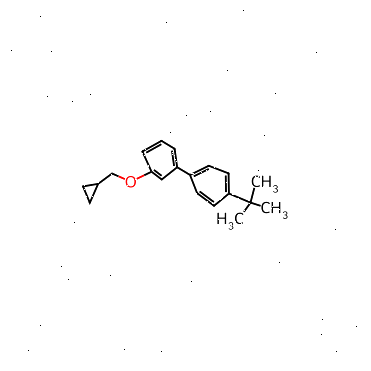 CC(C)(C)c1ccc(-c2cccc(OCC3CC3)c2)cc1